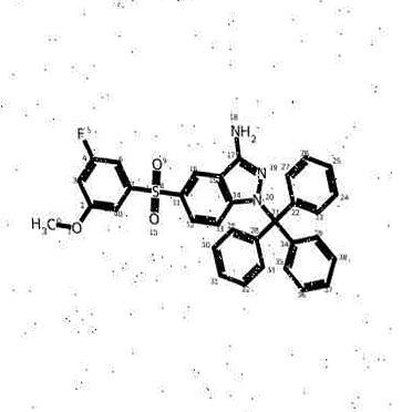 COc1cc(F)cc(S(=O)(=O)c2ccc3c(c2)c(N)nn3C(c2ccccc2)(c2ccccc2)c2ccccc2)c1